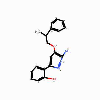 [CH2]C(COc1cc(-c2ccccc2O)nnc1N)c1ccccc1